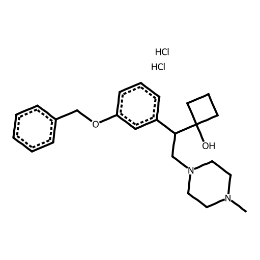 CN1CCN(CC(c2cccc(OCc3ccccc3)c2)C2(O)CCC2)CC1.Cl.Cl